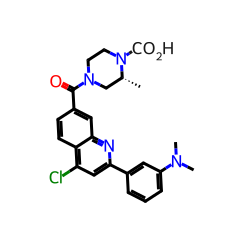 C[C@@H]1CN(C(=O)c2ccc3c(Cl)cc(-c4cccc(N(C)C)c4)nc3c2)CCN1C(=O)O